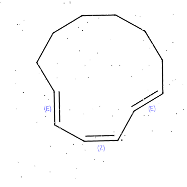 [C]1=C\C=C\CCCCCC/C=C/1